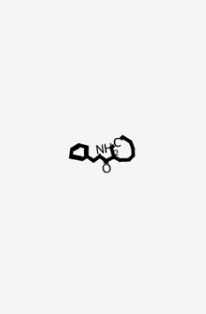 N[C@@H](Cc1ccccc1)C(=O)C1CCCCCCCC1